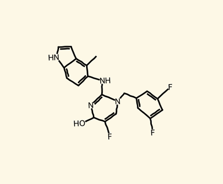 Cc1c(NC2=NC(O)C(F)=CN2Cc2cc(F)cc(F)c2)ccc2[nH]ccc12